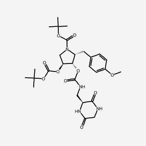 COc1ccc(C[C@@H]2[C@H](OC(=O)NC[C@@H]3NC(=O)CNC3=O)[C@@H](OC(=O)OC(C)(C)C)CN2C(=O)OC(C)(C)C)cc1